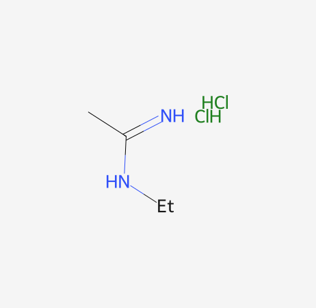 CCNC(C)=N.Cl.Cl